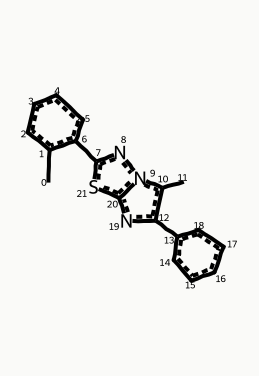 Cc1ccccc1-c1nn2c(C)c(-c3ccccc3)nc2s1